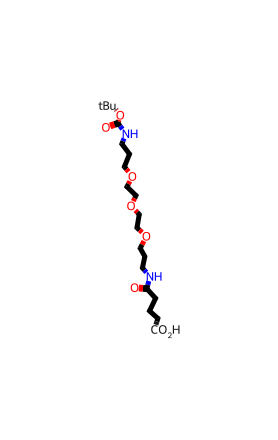 CC(C)(C)OC(=O)NCCCOCCOCCOCCCNC(=O)CCCC(=O)O